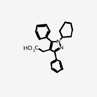 O=C(O)Cc1c(-c2ccccc2)nn(C2CCCCC2)c1-c1ccccc1